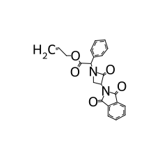 C=CCOC(=O)C(c1ccccc1)N1CC(N2C(=O)c3ccccc3C2=O)C1=O